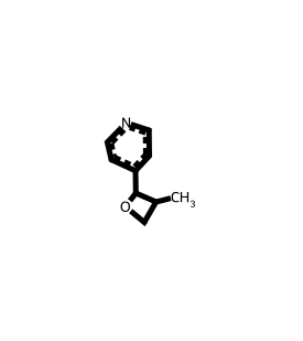 CC1COC1c1ccncc1